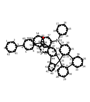 c1ccc(-c2ccc(-c3ccc(N(c4ccccc4)c4ccc5c(c4)C4(c6ccccc6-c6ccccc6-5)c5ccccc5-c5c4ccc4c5sc5ccccc54)cc3)cc2)cc1